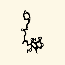 C/C(=C\Cc1c(O)c(C)c2c(c1O)C(=O)OC2)CCC(=O)OCCN1CCOCC1